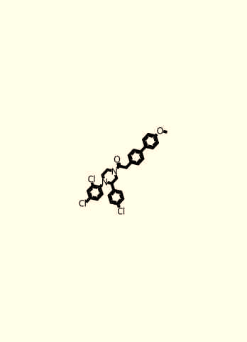 COc1ccc(-c2ccc(CC(=O)N3CCN(c4ccc(Cl)cc4Cl)C(c4ccc(Cl)cc4)C3)cc2)cc1